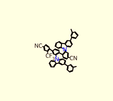 Cc1cccc(-c2ccc3c(c2)c2ccccc2n3-c2cc(C#N)ccc2-c2ccc(-c3ccc(C#N)cc3C(F)(F)F)cc2-n2c3ccccc3c3cc(-c4cccc(C)c4)ccc32)c1